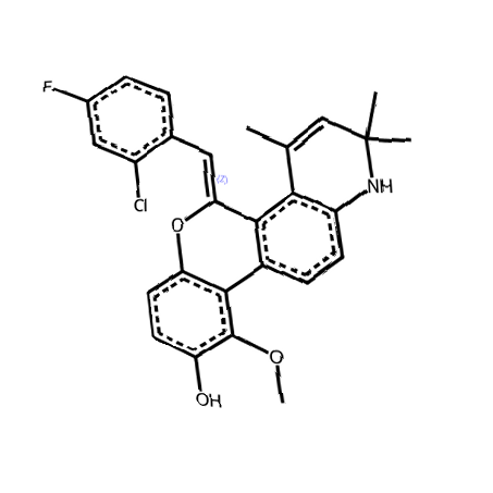 COc1c(O)ccc2c1-c1ccc3c(c1/C(=C/c1ccc(F)cc1Cl)O2)C(C)=CC(C)(C)N3